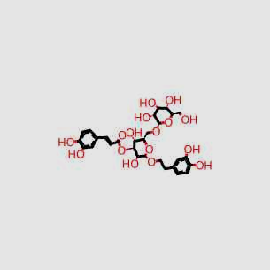 O=C(/C=C/c1ccc(O)c(O)c1)O[C@@H]1[C@@H](O)[C@H](OCCc2ccc(O)c(O)c2)O[C@H](CO[C@@H]2O[C@H](CO)[C@@H](O)[C@H](O)[C@H]2O)[C@H]1O